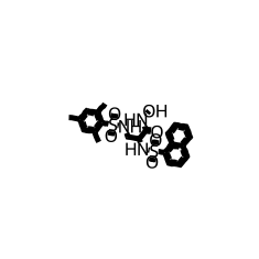 Cc1cc(C)c(S(=O)(=O)NCC(NS(=O)(=O)c2cccc3ccccc23)C(=O)NO)c(C)c1